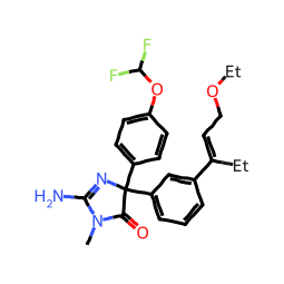 CCOCC=C(CC)c1cccc(C2(c3ccc(OC(F)F)cc3)N=C(N)N(C)C2=O)c1